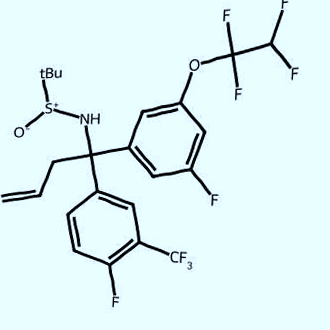 C=CCC(N[S+]([O-])C(C)(C)C)(c1cc(F)cc(OC(F)(F)C(F)F)c1)c1ccc(F)c(C(F)(F)F)c1